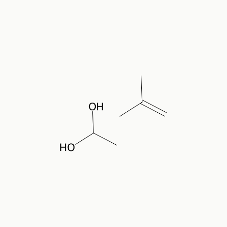 C=C(C)C.CC(O)O